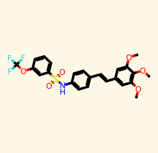 COc1cc(C=Cc2ccc(NS(=O)(=O)c3cccc(OC(F)(F)F)c3)cc2)cc(OC)c1OC